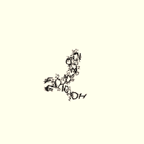 CC(C)(O)CO/N=C(/c1ccc(F)c(F)c1)c1ccc(CN2CCC3(CC2)OCc2ccncc23)cn1